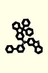 c1ccc(-c2cccc(N(c3ccc4c(c3)C(c3ccccc3)(c3ccccc3)c3ccccc3-4)c3ccc4sc5ccccc5c4c3)c2)cc1